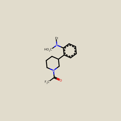 CCN(C(=O)O)c1ccccc1C1CCCN(C(=O)C(F)(F)F)C1